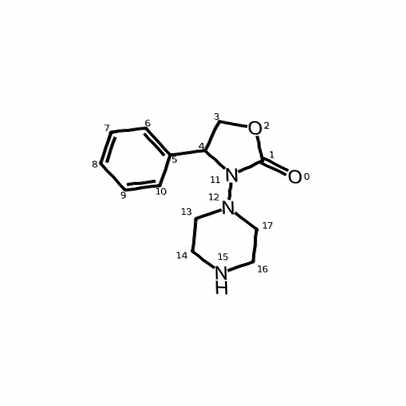 O=C1OCC(c2ccccc2)N1N1CCNCC1